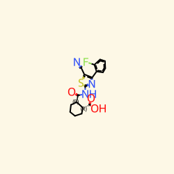 N#Cc1sc(NC(=O)[C@@H]2CCCC[C@H]2C(=O)O)nc1-c1ccccc1F